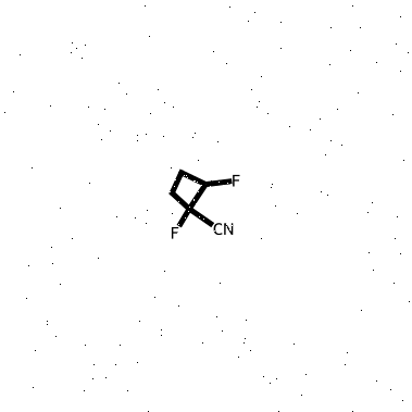 N#CC1(F)CCC1F